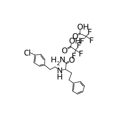 NC(=O)C(CCc1ccccc1)NCCc1ccc(Cl)cc1.O=C(O)C(F)(F)F.O=C(O)C(F)(F)F